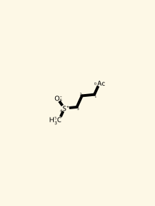 CC(=O)CCC[S+](C)[O-]